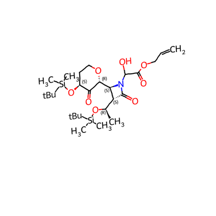 C=CCOC(=O)C(O)N1C(=O)[C@H]([C@@H](C)O[Si](C)(C)C(C)(C)C)[C@H]1[C@H]1OCC[C@H](O[Si](C)(C)C(C)(C)C)C1=O